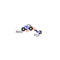 COc1ccc2nc(C)n(-c3ccc(OCCCN4CCC[C@@H]4C)cc3)c(=O)c2c1